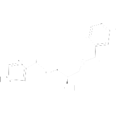 C[C@@H](COCc1c[nH]cn1)CSCc1ccccc1